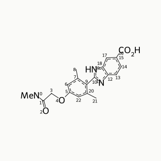 CNC(=O)COc1cc(C)c(-c2nc3ccc(C(=O)O)cc3[nH]2)c(C)c1